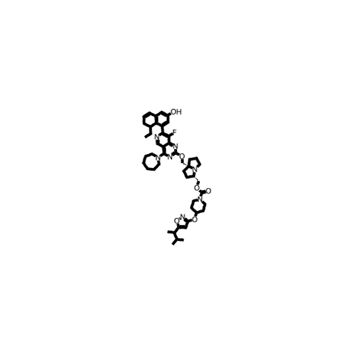 CCC1CC=Cc2cc(O)cc(-c3ncc4c(N5CCCCCC5)nc(OC[C@]56CCCN5[C@H](COC(=O)N5CCC(Oc7cc(C(C)C(C)C)on7)CC5)CC6)nc4c3F)c21